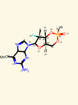 COC1=NC(N)=NC2C1N=CN2C1O[C@@H]2COP(=O)(C(C)C)O[C@H]2[C@@]1(C)F